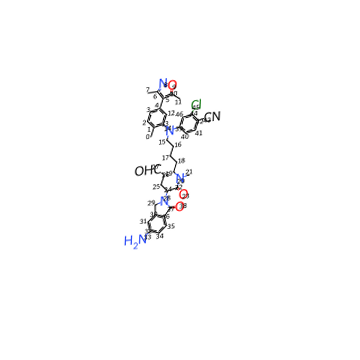 Cc1ccc(-c2c(C)noc2C)cc1N(CCCCCN(C)C(=O)C(CCC=O)N1Cc2cc(N)ccc2C1=O)c1ccc(C#N)c(Cl)c1